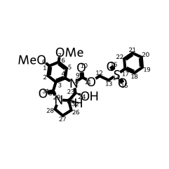 COc1cc2c(cc1OC)N(C(=O)OCCS(=O)(=O)c1ccccc1)[C@@H](O)[C@@H]1CCCN1C2=O